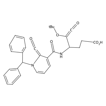 CC(C)(C)OC(=C=O)C(CCC(=O)O)NC(=O)C1=CC=CN(C(c2ccccc2)c2ccccc2)C1=C=O